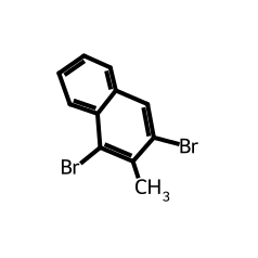 Cc1c(Br)cc2ccccc2c1Br